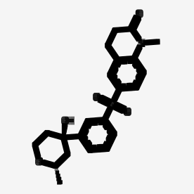 C[C@H]1C[C@@](O)(c2cccc(S(=O)(=O)c3ccc4c(c3)CCC(=O)N4C)c2)CCO1